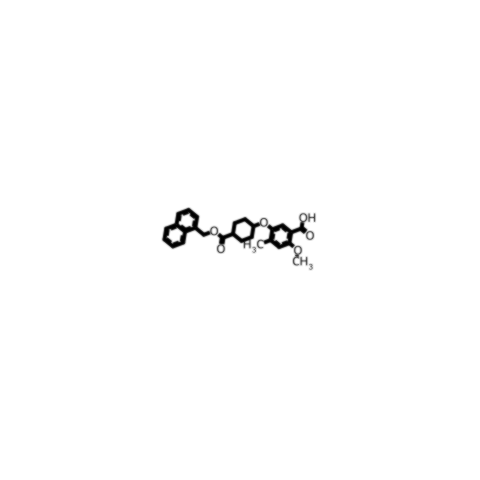 COc1cc(C)c(OC2CCC(C(=O)OCc3cccc4ccccc34)CC2)cc1C(=O)O